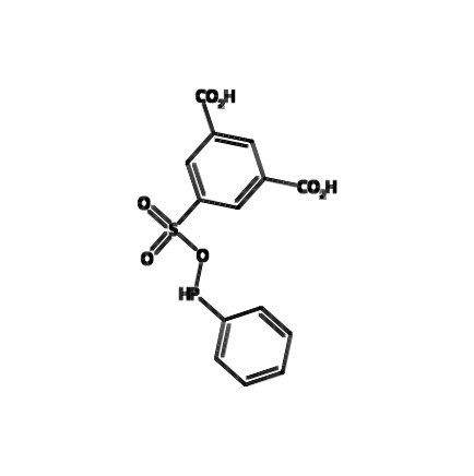 O=C(O)c1cc(C(=O)O)cc(S(=O)(=O)OPc2ccccc2)c1